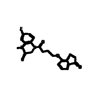 CN1C(=O)CN(C(=O)CCCOc2cccc3c2CCC3=O)c2ccc(F)cc21